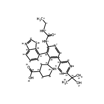 CCNC(=O)Nc1ncc(-c2cnc(C(C)(C)O)nc2)c(C2CC(C(=O)O)CCN2)c1-c1cccc2ncsc12